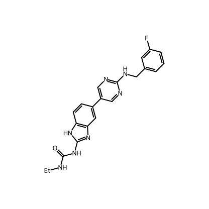 CCNC(=O)Nc1nc2cc(-c3cnc(NCc4cccc(F)c4)nc3)ccc2[nH]1